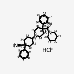 Cl.N#CC1(c2ccccc2)CCC(N2CCC(C(=O)N3CCCCC3)(c3ccccc3)CC2)CC1